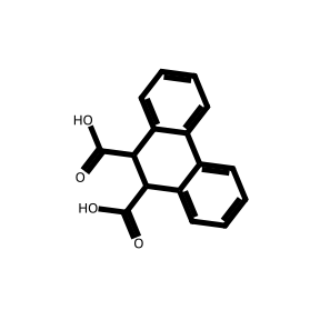 O=C(O)C1c2ccccc2-c2ccccc2C1C(=O)O